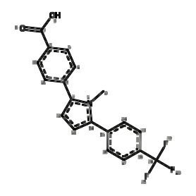 Cn1c(-c2ccc(C(=O)O)cc2)ccc1-c1ccc(C(F)(F)F)cc1